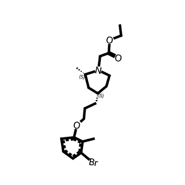 CCOC(=O)CN1CC[C@H](CCCOc2cccc(Br)c2C)C[C@@H]1C